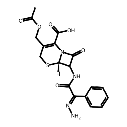 CC(=O)OCC1=C(C(=O)O)N2C(=O)C(NC(=O)/C(=N/N)c3ccccc3)[C@@H]2SC1